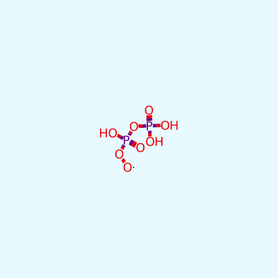 [O]OP(=O)(O)OP(=O)(O)O